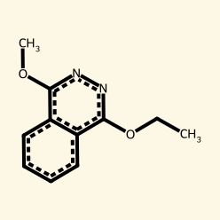 CCOc1nnc(OC)c2ccccc12